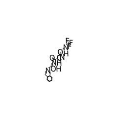 O=C(NC[C@H](O)CN1CCc2ccccc2C1)c1ccnc(OCCNCC(F)(F)F)c1